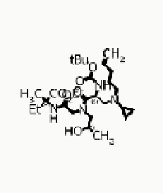 C=CCCCN(C[C@H](NC(=O)OC(C)(C)C)C(=O)N(CC(=O)N[C@@](C)(CC)C(=O)OCC)C[C@@H](C)O)C1CC1